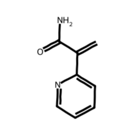 C=C(C(N)=O)c1ccccn1